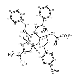 CCOC(=O)C(=O)O[C@@](CCc1ccc(OC)cc1)(C1O[C@@H]2SC(N(C)C)=N[C@@H]2[C@@H](OCc2ccccc2)[C@@H]1OCc1ccccc1)C(F)(F)F